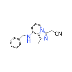 Cc1nc(CC#N)n2cccc(NCc3ccccc3)c12